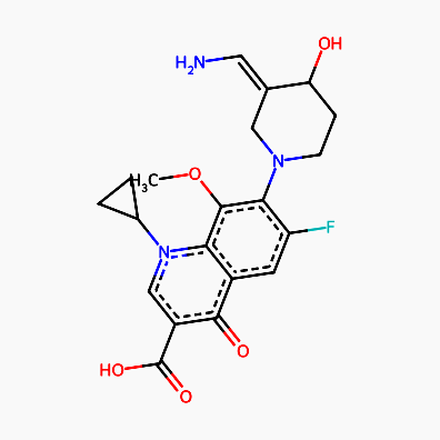 COc1c(N2CCC(O)C(=CN)C2)c(F)cc2c(=O)c(C(=O)O)cn(C3CC3)c12